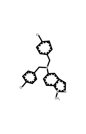 Cn1ncc2cc(N(Cc3ccc(Cl)cc3)Cc3ccc(Cl)cc3)ccc21